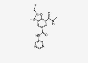 CNC(=O)c1cc(C(=O)Nc2cncnc2)cc2c1O[C@H](CF)[C@H]2C